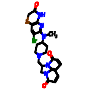 CN(c1nc2c(cc1Br)SCC(=O)N2)C1CCN(CC2Cn3c(=O)ccc4ccc(=O)n2c43)CC1